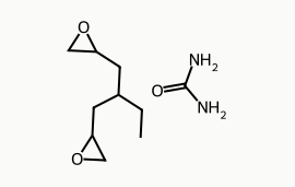 CCC(CC1CO1)CC1CO1.NC(N)=O